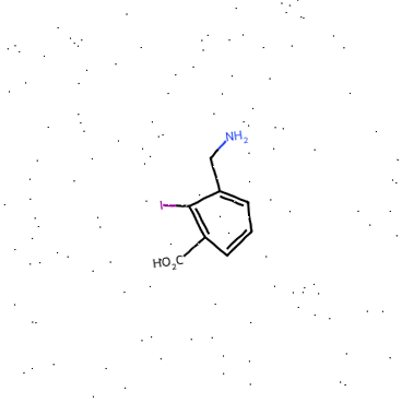 NCc1cccc(C(=O)O)c1I